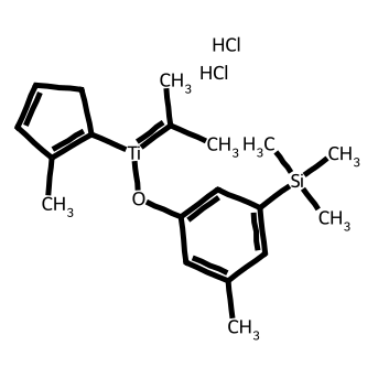 CC1=[C]([Ti]([O]c2cc(C)cc([Si](C)(C)C)c2)=[C](C)C)CC=C1.Cl.Cl